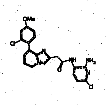 COc1ccc(-c2cccn3cc(CC(=O)Nc4ccc(Cl)nc4N)nc23)c(Cl)c1